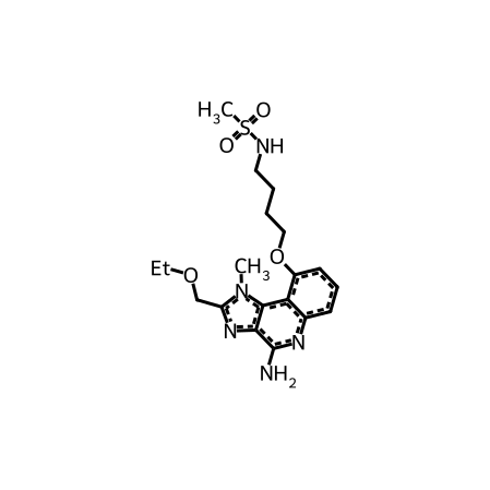 CCOCc1nc2c(N)nc3cccc(OCCCCNS(C)(=O)=O)c3c2n1C